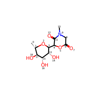 C[C@@H]1OC(C2OC(=O)CN(C)C2=O)[C@H](O)[C@H](O)[C@H]1O